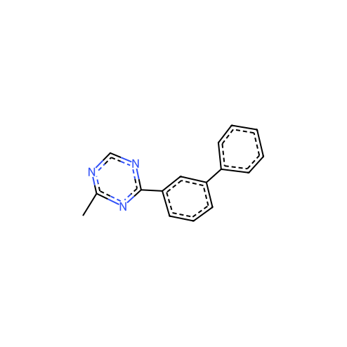 Cc1ncnc(-c2cccc(-c3ccccc3)c2)n1